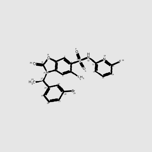 Cc1cc2c(cc1S(=O)(=O)Nc1cccc(F)n1)oc(=O)n2[C@H](C)c1cccc(Br)c1